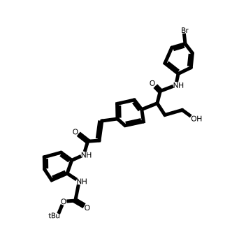 CC(C)(C)OC(=O)Nc1ccccc1NC(=O)C=Cc1ccc(C(CCO)C(=O)Nc2ccc(Br)cc2)cc1